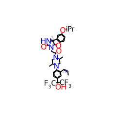 C/C=C\c1cc(C(O)(C(F)(F)F)C(F)(F)F)ccc1N1CC(C)N(C(=O)CN2C(=O)N[C@@](C)(c3cccc(OC(C)C)c3)C2=O)CC1C